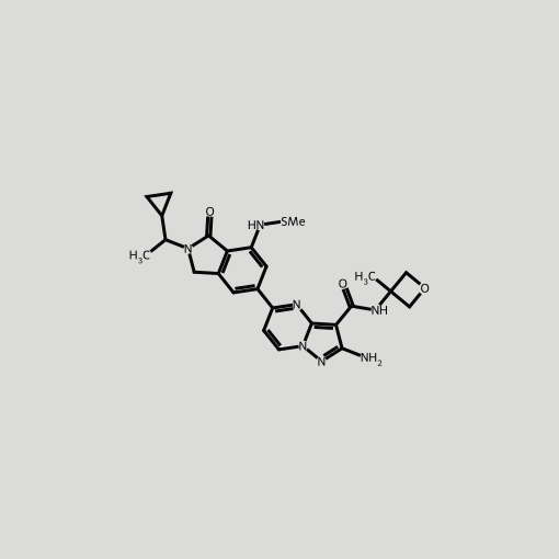 CSNc1cc(-c2ccn3nc(N)c(C(=O)NC4(C)COC4)c3n2)cc2c1C(=O)N(C(C)C1CC1)C2